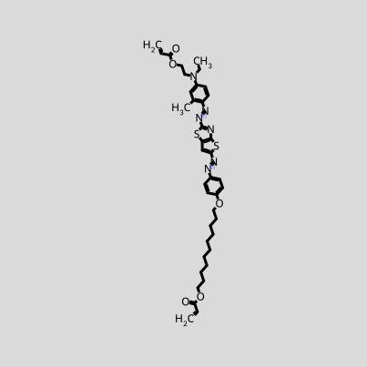 C=CC(=O)OCCCCCCCCCCCOc1ccc(/N=N/c2cc3sc(/N=N/c4ccc(N(CC)CCOC(=O)C=C)cc4C)nc3s2)cc1